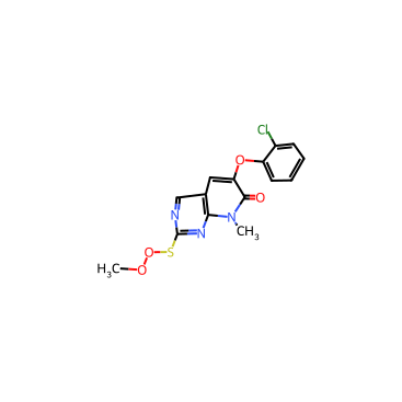 COOSc1ncc2cc(Oc3ccccc3Cl)c(=O)n(C)c2n1